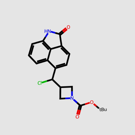 CC(C)(C)OC(=O)N1CC(C(Cl)c2ccc3c4c(cccc24)NC3=O)C1